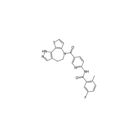 Cc1ccc(F)cc1C(=O)Nc1ccc(C(=O)N2CCc3cn[nH]c3-c3sccc32)cn1